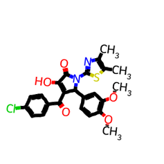 COc1ccc(C2C(C(=O)c3ccc(Cl)cc3)=C(O)C(=O)N2c2nc(C)c(C)s2)cc1OC